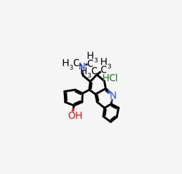 CN(C)CC1=C(c2cccc(O)c2)c2cc3ccccc3nc2CC1(C)C.Cl